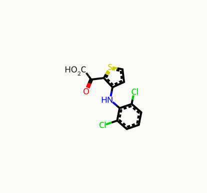 O=C(O)C(=O)c1sccc1Nc1c(Cl)cccc1Cl